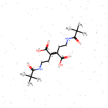 CC(C)(C)C(=O)NCCC(C(=O)O)=C(CCNC(=O)C(C)(C)C)C(=O)O